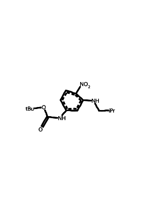 CC(C)CNc1cc(NC(=O)OC(C)(C)C)ccc1[N+](=O)[O-]